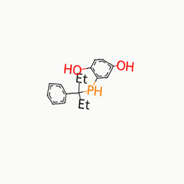 CCC(CC)(Pc1cc(O)ccc1O)c1ccccc1